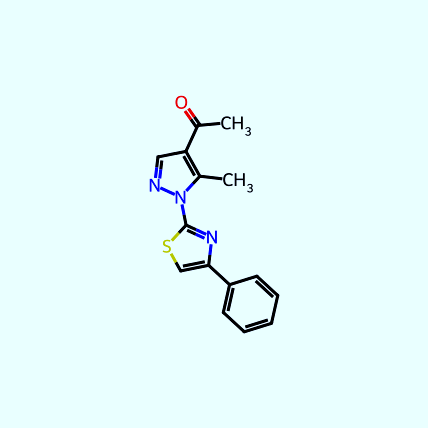 CC(=O)c1cnn(-c2nc(-c3ccccc3)cs2)c1C